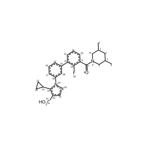 CC1CC(C)CN(C(=O)c2cccc(-c3cccc(-n4ncc(C(=O)O)c4C4CC4)c3)c2F)C1